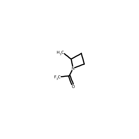 CC1CCN1C(=O)C(F)(F)F